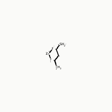 CCCC[SiH2].[F][Zr][F]